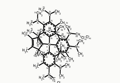 CC1=C(C)[C](C)([Ti+3])C([Si](c2c(C)c(C)c(N(C)C)c(N(C)C)c2N(C)C)(c2c(C)c(C)c(N(C)C)c(N(C)C)c2N(C)C)c2c(C)c(C)c(N(C)C)c(N(C)C)c2N(C)C)=C1C.[Cl-].[Cl-].[Cl-]